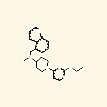 CCOc1nccc(N2CCC(N(C)Cc3cccc4ccccc34)CC2)n1